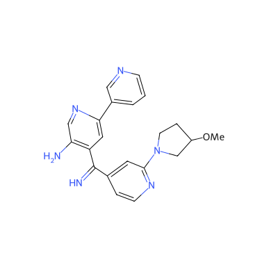 COC1CCN(c2cc(C(=N)c3cc(-c4cccnc4)ncc3N)ccn2)C1